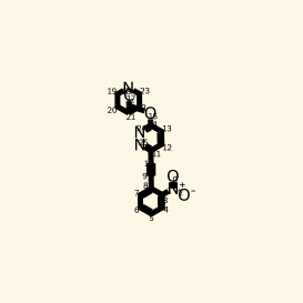 O=[N+]([O-])c1ccccc1C#Cc1ccc(OC2CN3CCC2CC3)nn1